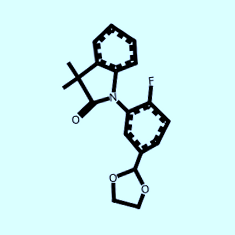 CC1(C)C(=O)N(c2cc(C3OCCO3)ccc2F)c2ccccc21